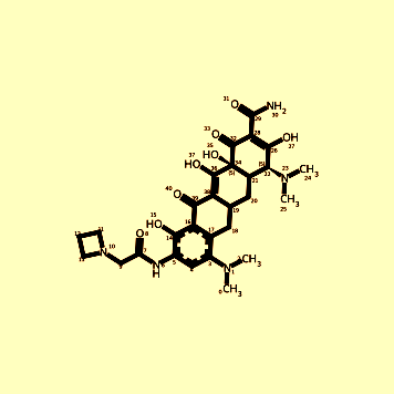 CN(C)c1cc(NC(=O)CN2CCC2)c(O)c2c1CC1CC3[C@H](N(C)C)C(O)=C(C(N)=O)C(=O)[C@@]3(O)C(O)=C1C2=O